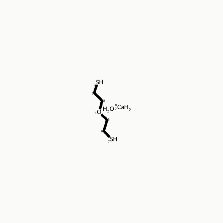 O.SCCOCCS.[CaH2]